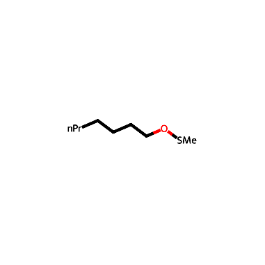 [CH2]CCCCCCOSC